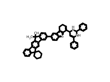 CC1(C)c2ccc(-c3ccc4sc5c(c4c3)CCC=C5C3C=C(c4ccccc4)NC(c4ccccc4)N3)cc2-c2cc3c(cc21)-c1ccccc1C31CCCCC1